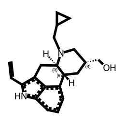 C=Cc1[nH]c2cccc3c2c1C[C@@H]1[C@@H]3C[C@@H](CO)CN1CC1CC1